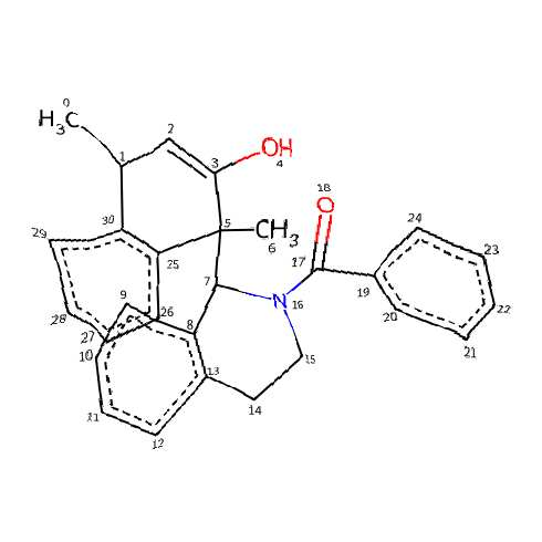 CC1C=C(O)C(C)(C2c3ccccc3CCN2C(=O)c2ccccc2)c2ccccc21